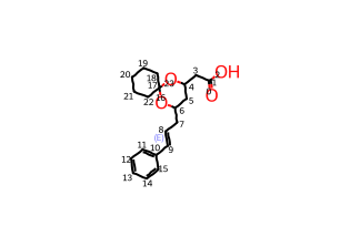 O=C(O)CC1CC(C/C=C/c2ccccc2)OC2(CCCCC2)O1